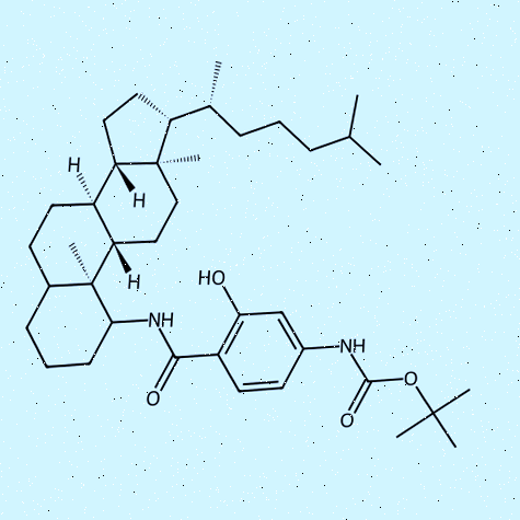 CC(C)CCC[C@@H](C)[C@H]1CC[C@H]2[C@@H]3CCC4CCCC(NC(=O)c5ccc(NC(=O)OC(C)(C)C)cc5O)[C@]4(C)[C@H]3CC[C@]12C